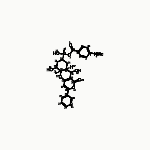 CNc1ccc(C(=O)OC(C)(O)[C@@H]2C[C@H](O)[C@@]3(C)Oc4cc(-c5cccnc5)oc(=O)c4C(O)[C@@H]3C2)cc1